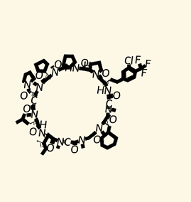 CC[C@H](C)[C@@H]1NC(=O)[C@H](CC(C)C)N(C)C(=O)C[C@H](C(=O)N2CCCC2)N(C)C(=O)[C@H](C2CCCC2)N(C)C(=O)C2(CCCC2)NC(=O)[C@@H]2CCCN2C(=O)[C@H](CCc2ccc(C(F)(F)F)c(Cl)c2)NC(=O)CN(C)C(=O)[C@H](CC2CCCCC2)N(C)C(=O)CN(C)C(=O)CN(C)C1=O